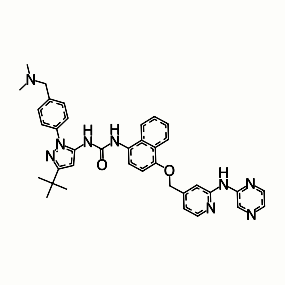 CN(C)Cc1ccc(-n2nc(C(C)(C)C)cc2NC(=O)Nc2ccc(OCc3ccnc(Nc4cnccn4)c3)c3ccccc23)cc1